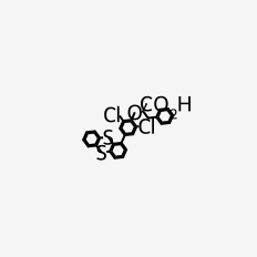 O=C(O)[C@@H](Cc1ccccc1)Oc1c(Cl)cc(-c2cccc3c2Sc2ccccc2S3)cc1Cl